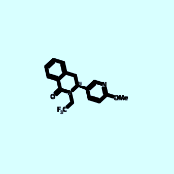 COc1ccc([C@@H]2Cc3ccccc3C(=O)N2CC(F)(F)F)cn1